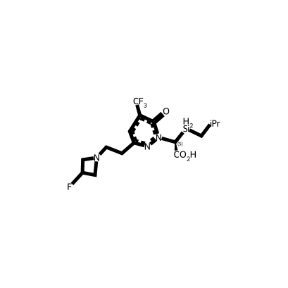 CC(C)C[SiH2][C@@H](C(=O)O)n1nc(CCN2CC(F)C2)cc(C(F)(F)F)c1=O